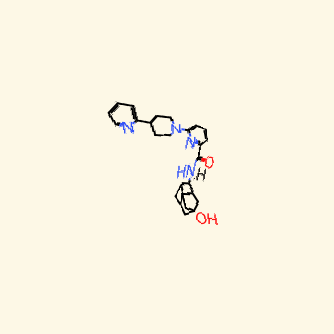 O=C(N[C@H]1C2CC3CC1C[C@](O)(C3)C2)c1cccc(N2CCC(c3ccccn3)CC2)n1